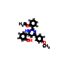 COc1ccc(C2=NC(c3ccccc3OC)N[C@H](c3ccccc3O)C2)cc1